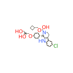 OC[C@@H](O)COc1ccc([C@H]2c3[nH]c4ccc(Cl)cc4c3CCN2C(O)OCC2CCC2)cc1